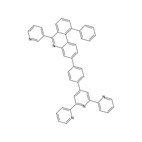 c1ccc(-c2cccc3c(-c4cccnc4)nc4cc(-c5ccc(-c6cc(-c7ccccn7)nc(-c7ccccn7)c6)cc5)ccc4c23)cc1